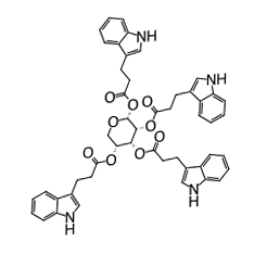 O=C(CCc1c[nH]c2ccccc12)O[C@H]1OC[C@@H](OC(=O)CCc2c[nH]c3ccccc23)[C@@H](OC(=O)CCc2c[nH]c3ccccc23)[C@H]1OC(=O)CCc1c[nH]c2ccccc12